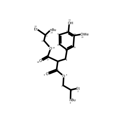 CCCCC(CC)COC(=O)C(Cc1ccc(O)c(OC)c1)C(=O)OCC(CC)CCCC